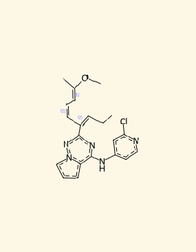 CC/C=C(/C=C\C=C(/C)OC)c1nc(Nc2ccnc(Cl)c2)c2cccn2n1